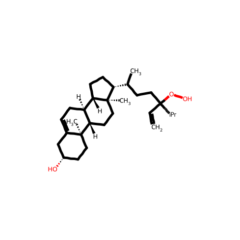 C=CC(CCC(C)[C@H]1CC[C@H]2[C@@H]3CC=C4C[C@@H](O)CC[C@]4(C)[C@H]3CC[C@]12C)(OO)C(C)C